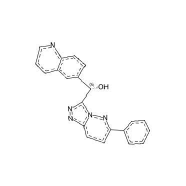 O[C@@H](c1ccc2ncccc2c1)c1nnc2ccc(-c3ccccc3)nn12